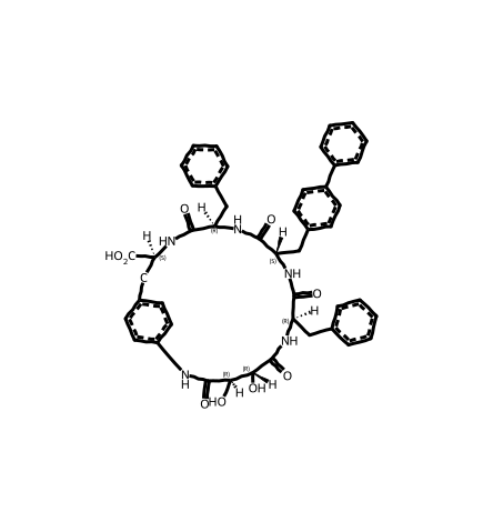 O=C(O)[C@@H]1Cc2ccc(cc2)NC(=O)[C@H](O)[C@@H](O)C(=O)N[C@H](Cc2ccccc2)C(=O)N[C@@H](Cc2ccc(-c3ccccc3)cc2)C(=O)N[C@H](Cc2ccccc2)C(=O)N1